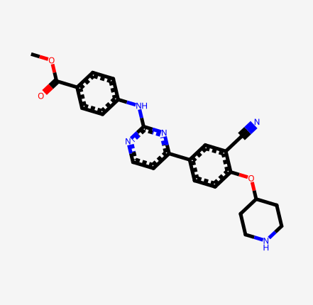 COC(=O)c1ccc(Nc2nccc(-c3ccc(OC4CCNCC4)c(C#N)c3)n2)cc1